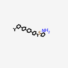 C=C(C)c1cccc(-c2ccc(-c3ccc(-c4ccc(C(=C)Sc5ccccc5N)cc4)cc3)cc2)c1